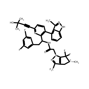 Cc1n[nH]c2cccc(-c3ccc(C#CC(C)(C)O)nc3C(Cc3cc(F)cc(F)c3)NC(=O)Cn3nc(C(F)(F)F)c4c3C(F)(F)[C@H](C)C4)c12